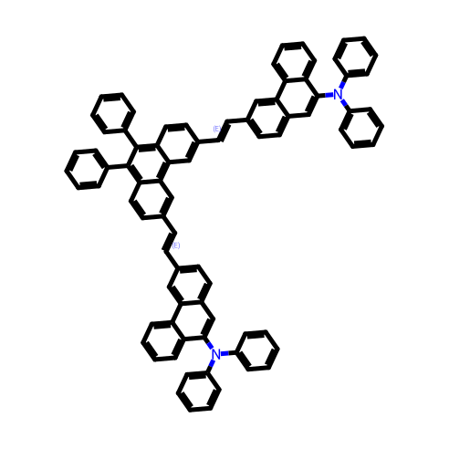 C(=C\c1ccc2c(-c3ccccc3)c(-c3ccccc3)c3ccc(/C=C/c4ccc5cc(N(c6ccccc6)c6ccccc6)c6ccccc6c5c4)cc3c2c1)/c1ccc2cc(N(c3ccccc3)c3ccccc3)c3ccccc3c2c1